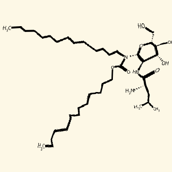 CCCCCCCCCCCCCCN(C(=O)OCCCCCCCCCCCC)[C@@H]1O[C@H](CO)[C@@H](O)[C@H](O)[C@H]1NC(=O)[C@@H](N)CC(C)C